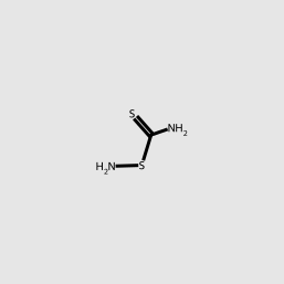 NSC(N)=S